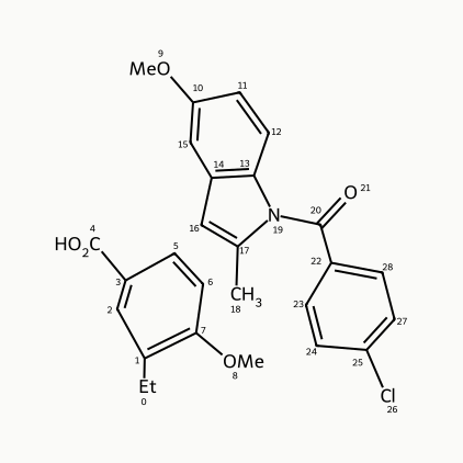 CCc1cc(C(=O)O)ccc1OC.COc1ccc2c(c1)cc(C)n2C(=O)c1ccc(Cl)cc1